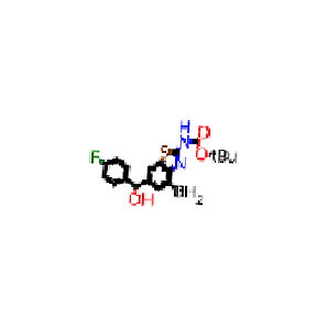 Bc1cc(C(O)c2ccc(F)cc2)cc2sc(NC(=O)OC(C)(C)C)nc12